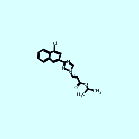 CC(C)OC(=O)/C=C/n1cnc(-c2cc(Cl)c3ccccc3c2)n1